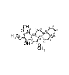 COc1nc2c(cc(OC)c3c4ccc5ccccc5c4ccc23)c(O)c1OC